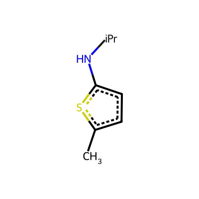 Cc1ccc(NC(C)C)s1